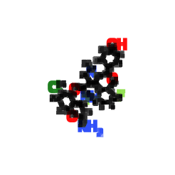 Cc1c(F)ccc(F)c1-c1c(C(=O)NC(=CC(N)=O)c2cccc(Cl)c2)cn(C)c1C(=O)c1ccc(O)cc1